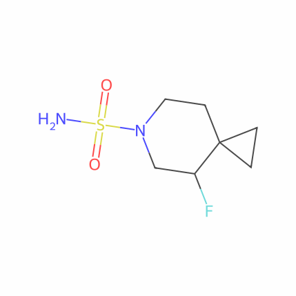 NS(=O)(=O)N1CCC2(CC2)C(F)C1